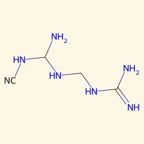 N#CNC(N)NCNC(=N)N